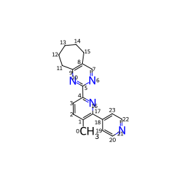 Cc1ccc(-c2ncc3c(n2)CCCCC3)nc1-c1ccncc1